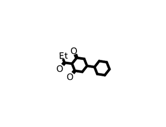 CCC(=O)C1C(=O)CC(C2CCCCC2)CC1=O